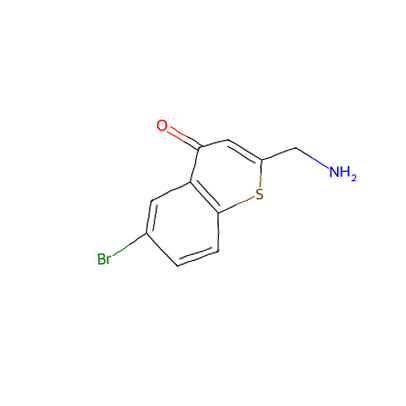 NCc1cc(=O)c2cc(Br)ccc2s1